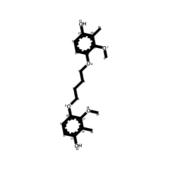 COc1c(OCCCCOc2ccc(O)c(C)c2OC)ccc(O)c1C